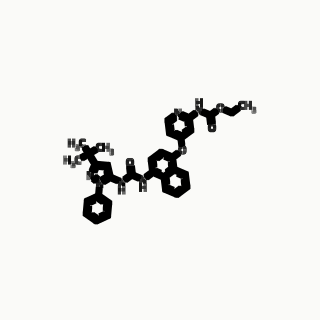 CCOC(=O)Nc1cc(Oc2ccc(NC(=O)Nc3cc(C(C)(C)C)nn3-c3ccccc3)c3ccccc23)ccn1